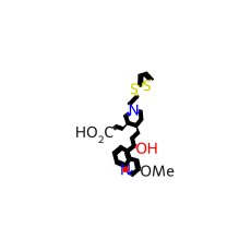 COc1cnc2cccc(C(O)CC[C@@H]3CCN(CCSc4cccs4)C[C@@H]3CCC(=O)O)c2c1